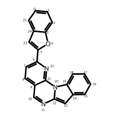 c1ccc2oc(-c3ccc4cnc5cc6ccccc6n5c4n3)cc2c1